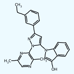 CCc1cccc(-c2cc(-n3cc(O)c4ccccc43)n(-c3nc(C)cnc3C)n2)c1